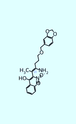 C/C(C1=C(O)c2ccccc2O[NH+]1[O-])=C(/N)CCCOCc1ccc2c(c1)OCO2